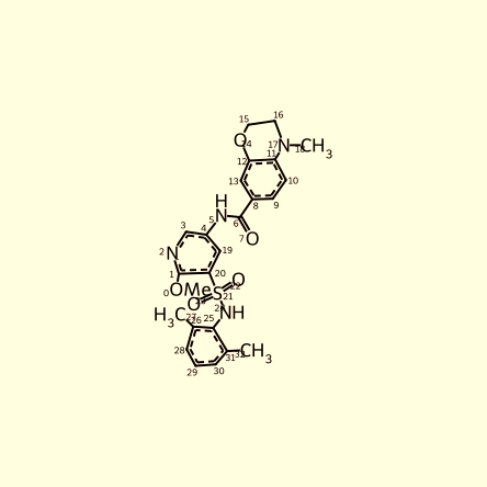 COc1ncc(NC(=O)c2ccc3c(c2)OCCN3C)cc1S(=O)(=O)Nc1c(C)cccc1C